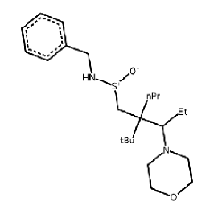 CCCC(C[S+]([O-])NCc1ccccc1)(C(CC)N1CCOCC1)C(C)(C)C